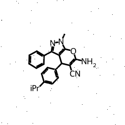 CC(C)c1ccc(C2C(C#N)=C(N)Oc3c2c(-c2ccccc2)nn3C)cc1